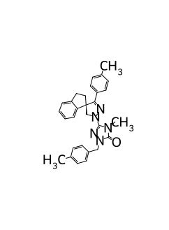 Cc1ccc(Cn2nc(N3C[C@@]4(CCc5ccccc54)C(c4ccc(C)cc4)=N3)n(C)c2=O)cc1